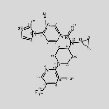 Cc1nccn1-c1ccc(C(=O)N(C2CC2)C2CCN(c3ncc(C(F)(F)F)cc3F)CC2)cc1F